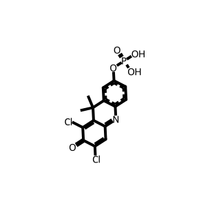 CC1(C)C2=C(Cl)C(=O)C(Cl)=CC2=Nc2ccc(OP(=O)(O)O)cc21